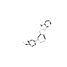 Cn1cc2ccc(C3C=C(CN4Cc5ncccc5C4=O)C(F)=CCC3)cc2n1